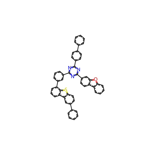 c1ccc(-c2ccc(-c3nc(-c4cccc(-c5cccc6c5sc5ccc(-c7ccccc7)cc56)c4)nc(-c4ccc5c(c4)oc4ccccc45)n3)cc2)cc1